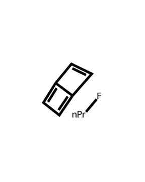 CCCF.c1cc2ccc1-2